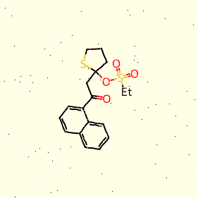 CCS(=O)(=O)OC1(CC(=O)c2cccc3ccccc23)CCCS1